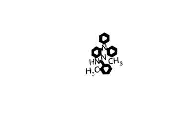 Cc1cccc(C)c1-c1nc2c(N(c3ccccc3)c3ccccc3)cccc2[nH]1